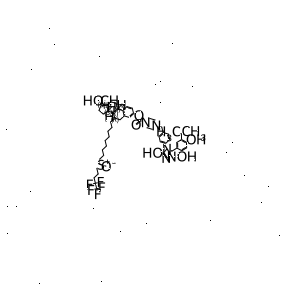 CC(C)c1cc(-c2nnc(O)n2-c2ccc(CN3CCN(C(=O)Oc4ccc5c(c4)C[C@@H](CCCCCCCCC[S+]([O-])CCCC(F)(F)C(F)(F)F)[C@@H]4[C@@H]5CC[C@]5(C)[C@@H](O)CC[C@@H]45)CC3)cc2)c(O)cc1O